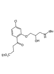 CCOC(=O)CCC(=O)c1ccc(Cl)cc1OCC(O)CNC(C)(C)C